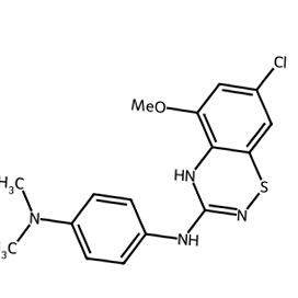 COc1cc(Cl)cc2c1NC(Nc1ccc(N(C)C)cc1)=NS2